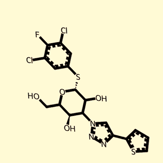 OCC1O[C@H](Sc2cc(Cl)c(F)c(Cl)c2)C(O)C(n2cc(-c3cccs3)nn2)[C@H]1O